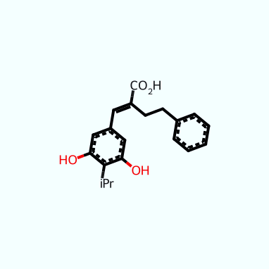 CC(C)c1c(O)cc(/C=C(\CCc2ccccc2)C(=O)O)cc1O